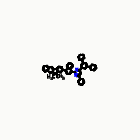 CC1(C)c2cc(-c3ccc(-c4nc(-c5ccccc5)cc(-c5cc(-c6ccccc6)cc(-c6ccccc6)c5)n4)c4ccccc34)ccc2-c2cc3ccccc3cc21